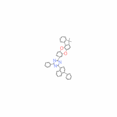 CC1(C)c2ccccc2-c2c1ccc1c2Oc2ccc(-c3nc(-c4ccccc4)nc(-c4ccc(-c5ccccc5)c5ccccc45)n3)cc2O1